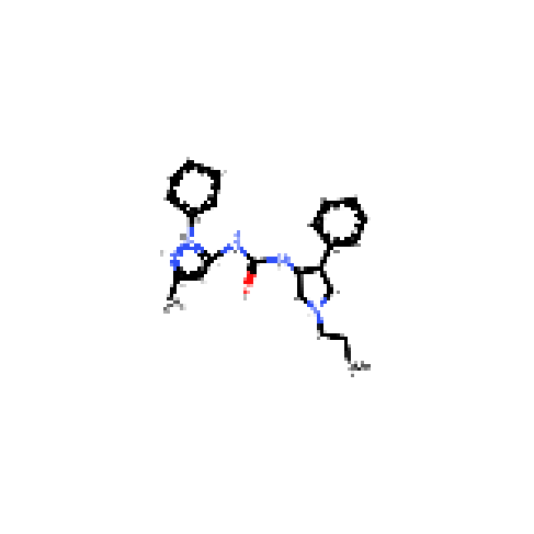 COCCN1CC(NC(=O)Nc2cc(C)nn2-c2ccccc2)C(c2ccccc2)C1